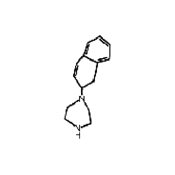 C1=CC(N2CCNCC2)Cc2ccccc21